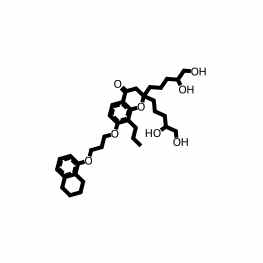 CCCc1c(OCCCOc2cccc3c2CCCC3)ccc2c1OC(CCCC(O)CO)(CCCC(O)CO)CC2=O